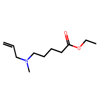 C=CCN(C)CCCCC(=O)OCC